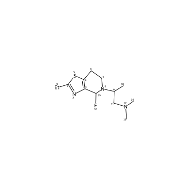 CCc1nc2c(s1)CCN(C(C)CN(C)C)C2F